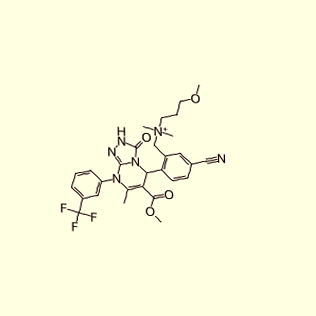 COCCC[N+](C)(C)Cc1cc(C#N)ccc1C1C(C(=O)OC)=C(C)N(c2cccc(C(F)(F)F)c2)c2n[nH]c(=O)n21